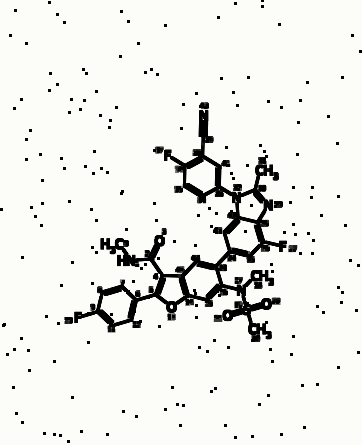 CNC(=O)c1c(-c2ccc(F)cc2)oc2cc(N(C)S(C)(=O)=O)c(-c3cc(F)c4nc(C)n(-c5ccc(F)c(C#N)c5)c4c3)cc12